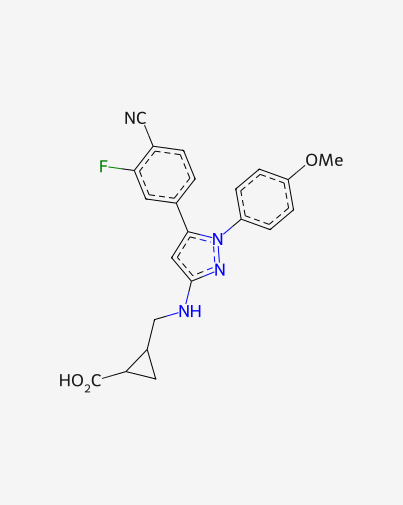 COc1ccc(-n2nc(NCC3CC3C(=O)O)cc2-c2ccc(C#N)c(F)c2)cc1